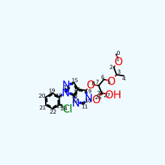 COCC(C)OCC(Oc1ncnc2c1cnn2-c1ccccc1Cl)C(=O)O